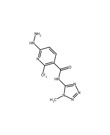 Cn1nnnc1NC(=O)c1ccc(NN)nc1C(F)(F)F